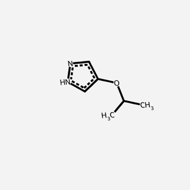 CC(C)Oc1cn[nH]c1